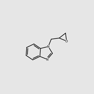 c1ccc2c(c1)ncn2CC1CO1